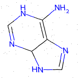 NC1=C2N=CNC2N=CN1